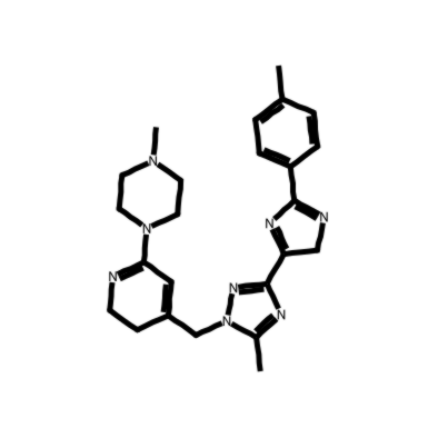 Cc1ccc(C2=NCC(c3nc(C)n(CC4=CC(N5CCN(C)CC5)=NCC4)n3)=N2)cc1